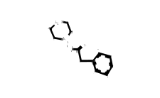 O=C(Cc1ccccc1)NN1CCOCC1